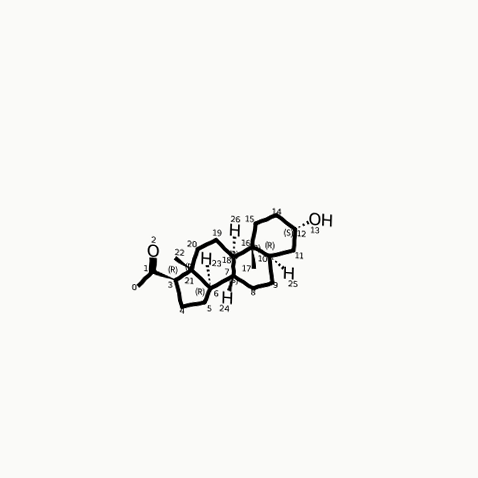 CC(=O)[C@@H]1CC[C@@H]2[C@H]3CC[C@@H]4C[C@@H](O)CC[C@@]4(C)[C@@H]3CC[C@]21C